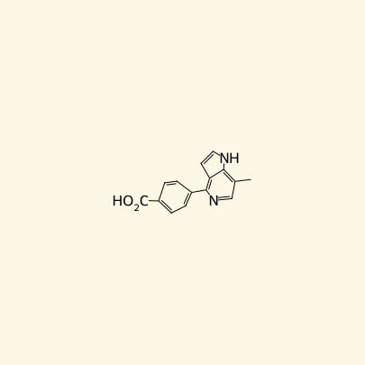 Cc1cnc(-c2ccc(C(=O)O)cc2)c2cc[nH]c12